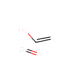 C=CO.[O]=[Zn]